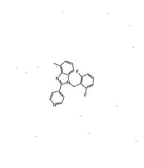 Cc1cccc2c1nc(-c1ccncc1)n2Cc1c(F)cccc1F